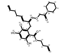 C=CCC/C=C/C(Cc1c(Cl)c(O)cc(O)c1C(=O)OCCC=C)=N/OCC(=O)N1CCCCC1